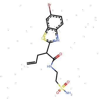 C=CCC(C(=O)NCCS(N)(=O)=O)c1nc2ccc(Br)cc2s1